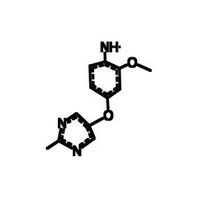 COc1cc(Oc2cnc(C)nc2)ccc1[NH]